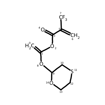 C=C(OC(=O)C(=C)C(F)(F)F)OC1CSCCO1